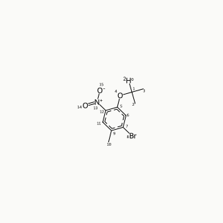 [2H]C(C)(C)Oc1cc(Br)c(C)cc1[N+](=O)[O-]